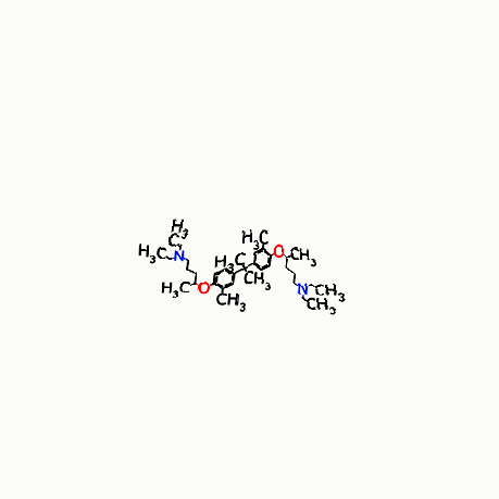 CCN(CC)CCCC(C)Oc1ccc(C(C)(C)c2ccc(OC(C)CCCN(CC)CC)c(C)c2)cc1C